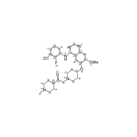 COc1cc2ncnc(Nc3cccc(Cl)c3F)c2cc1OC1CCN(CC(=O)N2CCN(C)CC2)CC1